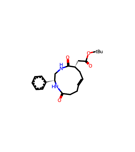 CC(C)(C)OC(=O)C[C@@H]1C/C=C/CCC(=O)N[C@H](c2ccccc2)CNC1=O